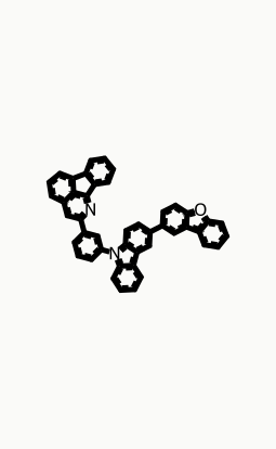 c1cc(-c2cc3cccc4c3c(n2)-c2ccccc2-4)cc(-n2c3ccccc3c3cc(-c4ccc5oc6ccccc6c5c4)ccc32)c1